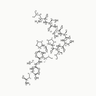 CC[C@H](C)[C@H](NC(=O)[C@@H]1CCCN1C(=O)[C@@H]1CCCN1C(=O)[C@@H](NC(=O)[C@H](CO)NC(=O)[C@H](C)NC(=O)[C@@H](NC(=O)[C@H](CS)NC(=O)[C@@H](N)CC(C)C)[C@@H](C)O)[C@@H](C)CC)C(=O)N[C@@H](CS)C(=O)N[C@@H](CCC(N)=O)C(=O)O